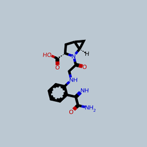 N=C(C(N)=O)c1ccccc1NCC(=O)N1[C@@H]2CC2C[C@H]1C(=O)O